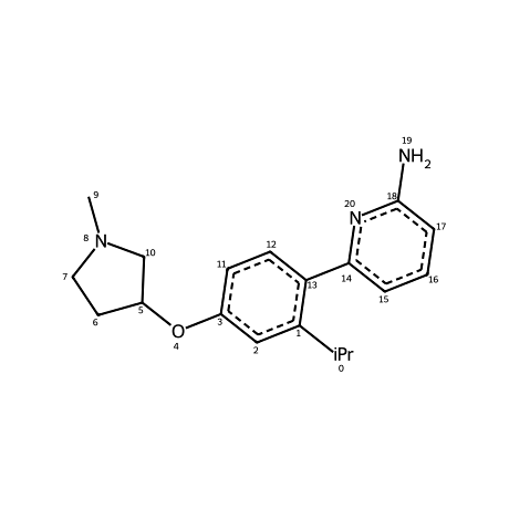 CC(C)c1cc(OC2CCN(C)C2)ccc1-c1cccc(N)n1